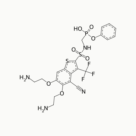 N#Cc1c(OCCN)c(OCCN)cc2sc(S(=O)(=O)NCP(=O)(O)Oc3ccccc3)c(C(F)(F)F)c12